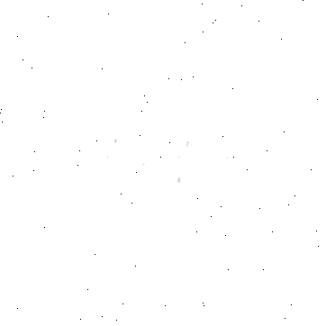 N=C(NS(=O)(=O)C1CC1)C1CCC2CN1C(=O)N2OS(=O)(=O)O